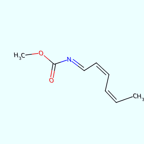 C\C=C/C=C\C=N\C(=O)OC